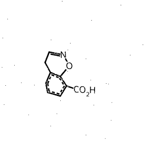 O=C(O)c1cccc2c1ON=CC2